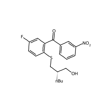 CCCC[C@@H](CO)CSc1ccc(F)cc1C(=O)c1cccc([N+](=O)[O-])c1